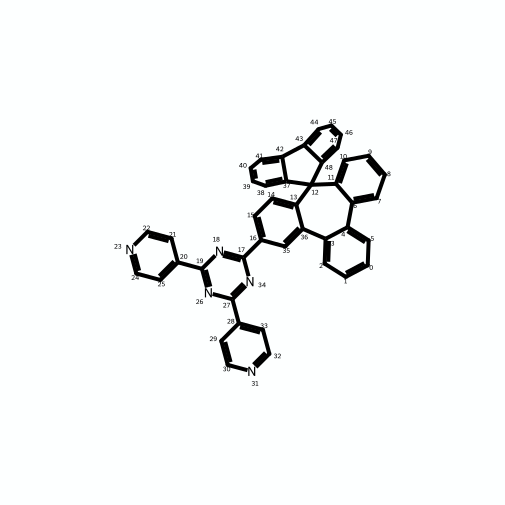 c1ccc2c(c1)-c1ccccc1C1(c3ccc(-c4nc(-c5ccncc5)nc(-c5ccncc5)n4)cc3-2)c2ccccc2-c2ccccc21